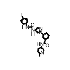 Cc1ccc(NC(=O)c2cccc(-n3cc(NC(=O)Nc4ccc(I)cc4)cn3)c2)cn1